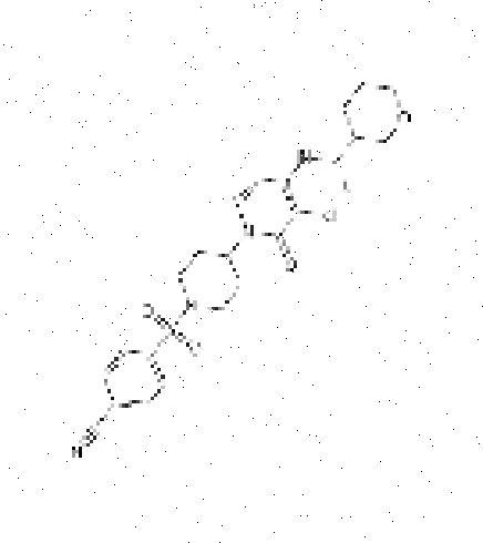 C[C@H](Nc1cnn(C2CCN(S(=O)(=O)c3ccc(C#N)cc3)CC2)c(=O)c1Cl)C1CCCOC1